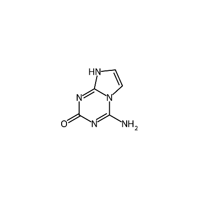 Nc1nc(=O)nc2[nH]ccn12